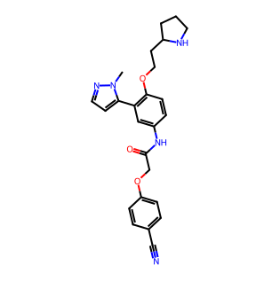 Cn1nccc1-c1cc(NC(=O)COc2ccc(C#N)cc2)ccc1OCCC1CCCN1